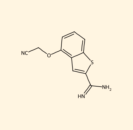 N#CCOc1cccc2sc(C(=N)N)cc12